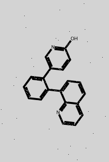 Oc1ccc(-c2ccccc2-c2cccc3cccnc23)cn1